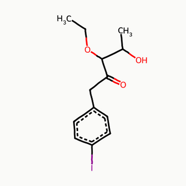 CCOC(C(=O)Cc1ccc(I)cc1)C(C)O